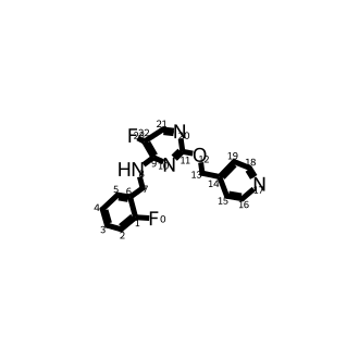 Fc1ccccc1CNc1nc(OCc2ccncc2)ncc1F